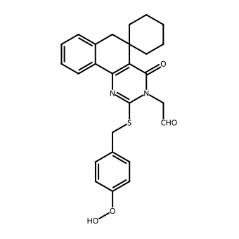 O=CCn1c(SCc2ccc(OO)cc2)nc2c(c1=O)C1(CCCCC1)Cc1ccccc1-2